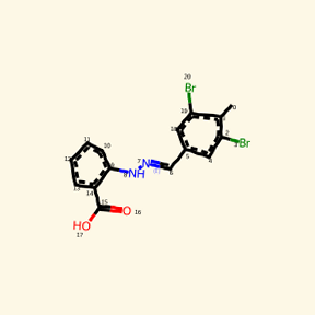 Cc1c(Br)cc(/C=N/Nc2ccccc2C(=O)O)cc1Br